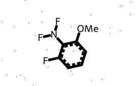 COc1cccc(F)c1N(F)F